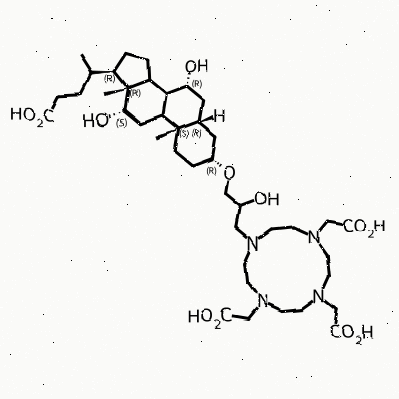 CC(CCC(=O)O)[C@H]1CCC2C3C(C[C@H](O)[C@@]21C)[C@@]1(C)CC[C@@H](OCC(O)CN2CCN(CC(=O)O)CCN(CC(=O)O)CCN(CC(=O)O)CC2)C[C@H]1C[C@H]3O